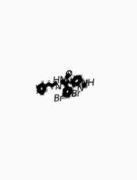 O=C1NC(=NCCCc2ccccc2)C(c2cc(Br)cc(Br)c2)N1c1ccc2[nH]cnc2c1